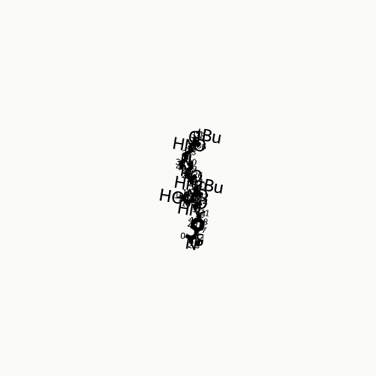 Cc1ncsc1-c1ccc([C@H](C)NC(=O)[C@@H]2C[C@@H](O)CN2C(=O)[C@@H](NC(=O)CN2CCN(CCNC(=O)OC(C)(C)C)CC2)C(C)(C)C)cc1